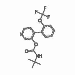 CC(C)(C)NC(=O)Oc1cnccc1-c1ccccc1OC(F)(F)F